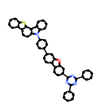 c1ccc(-c2nc(-c3ccccc3)nc(-c3ccc4c(c3)oc3cc(-c5ccc(-n6c7ccccc7c7c8sc9ccccc9c8ccc76)cc5)ccc34)n2)cc1